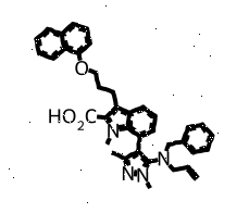 C=CCN(Cc1ccccc1)c1c(-c2cccc3c(CCCOc4cccc5ccccc45)c(C(=O)O)n(C)c23)c(C)nn1C